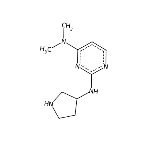 CN(C)c1ccnc(NC2CCNC2)n1